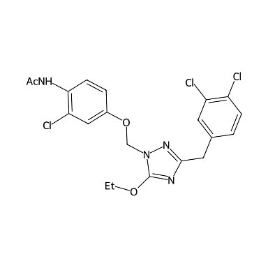 CCOc1nc(Cc2ccc(Cl)c(Cl)c2)nn1COc1ccc(NC(C)=O)c(Cl)c1